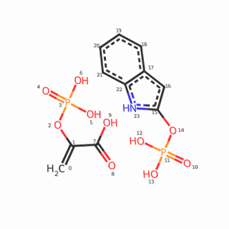 C=C(OP(=O)(O)O)C(=O)O.O=P(O)(O)Oc1cc2ccccc2[nH]1